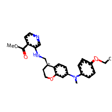 COC(=O)c1ccncc1NC[C@@H]1CCOc2cc(N(C)c3ccc(OCC(F)(F)F)cc3)ccc21